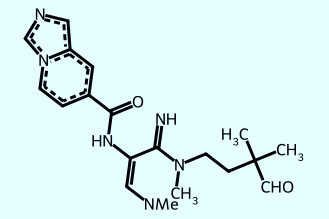 CN/C=C(/NC(=O)c1ccn2cncc2c1)C(=N)N(C)CCC(C)(C)C=O